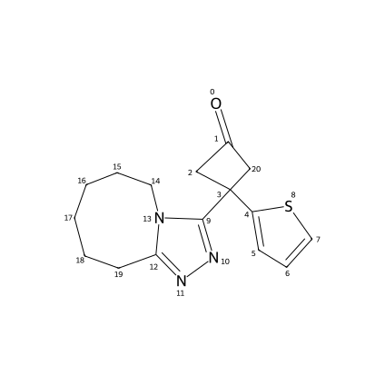 O=C1CC(c2cccs2)(c2nnc3n2CCCCCC3)C1